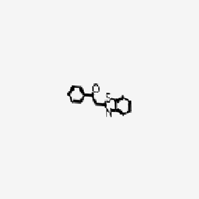 O=C(Cc1nc2ccccc2s1)c1ccccc1